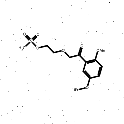 COc1ccc(OC(C)C)cc1C(=O)COCCOS(C)(=O)=O